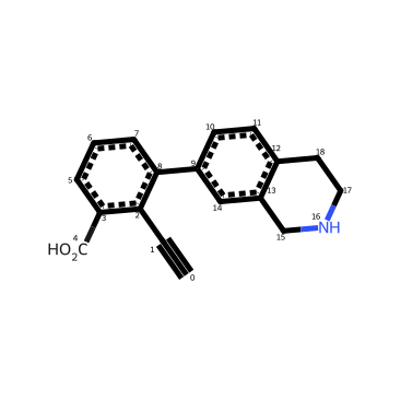 C#Cc1c(C(=O)O)cccc1-c1ccc2c(c1)CNCC2